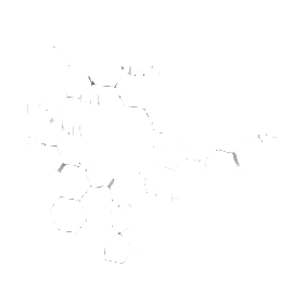 CCCC(N[C@@H](O)[C@@H]1CC2(CN1C(=O)C(NC(=O)C(N[C@H](O)C(CCC(C)=O)NC(=O)C(CCC(C)=O)NC(C)=O)C(C)C)C1CCCCC1)SCCS2)C(O)[C@H](O)NCC(=O)OC